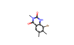 Cc1cc2c(=O)n(C)c(=O)[nH]c2c(Br)c1C